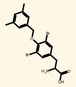 Cc1cc(C)cc(COc2c(Br)cc(CC(N)C(=O)O)cc2Br)c1